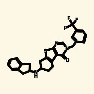 O=c1c2c3c(sc2ncn1Cc1cccc(C(F)(F)F)c1)CC(NC1Cc2ccccc2C1)CC3